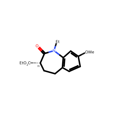 CCOC(=O)[C@H]1CCc2ccc(OC)cc2N(CC)C1=O